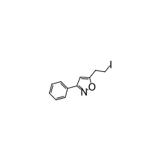 ICCc1cc(-c2ccccc2)no1